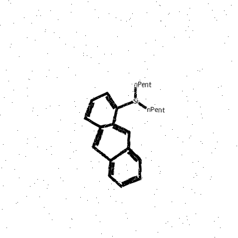 CCCCC[Si](CCCCC)c1cccc2cc3ccccc3cc12